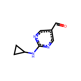 O=Cc1cnc(NC2CC2)nc1